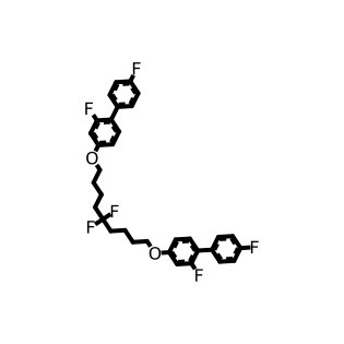 Fc1ccc(-c2ccc(OCCCCC(F)(F)CCCCOc3ccc(-c4ccc(F)cc4)c(F)c3)cc2F)cc1